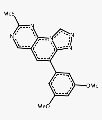 COc1cc(OC)cc(-c2cc3cnc(SC)nc3n3cnnc23)c1